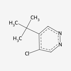 CC(C)(C)c1cnncc1Cl